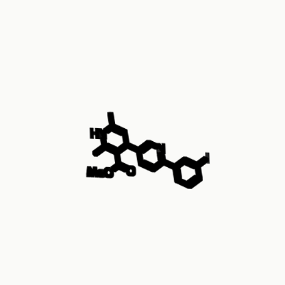 COC(=O)C1=C(C)NC(C)=CC1c1ccc(-c2cccc(I)c2)nc1